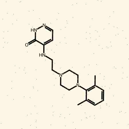 Cc1cccc(C)c1N1CCN(CCNc2ccn[nH]c2=O)CC1